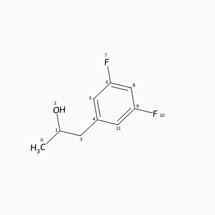 CC(O)Cc1cc(F)cc(F)c1